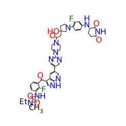 CCN(C)S(=O)(=O)Nc1cccc(C(=O)c2c[nH]c3ncc(-c4cnc(N5CCN(C(=O)CC6(O)CCN(c7ccc(NC8CCC(=O)NC8=O)cc7F)C6)CC5)nc4)cc23)c1F